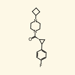 O=C([C@H]1CC1c1ccc(F)cc1)N1CCN(C2CCC2)CC1